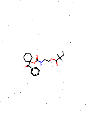 CCC(C)(C)C(=O)OCCNC(=O)OC1(C(=O)c2ccccc2)CCCCC1